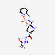 CS(=O)(=O)N(Cc1ccccn1)Cc1ccc(C(=O)NNC(=O)C(F)(F)F)cn1